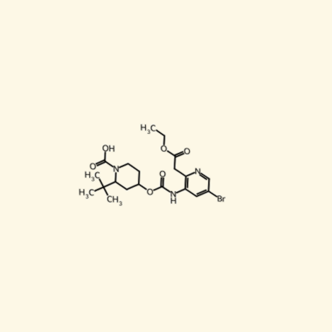 CCOC(=O)Cc1ncc(Br)cc1NC(=O)OC1CCN(C(=O)O)C(C(C)(C)C)C1